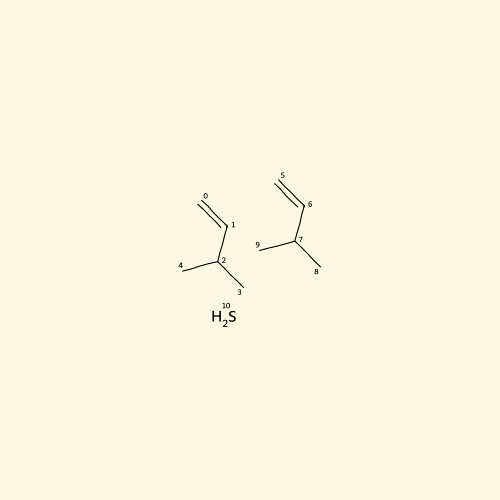 C=CC(C)C.C=CC(C)C.S